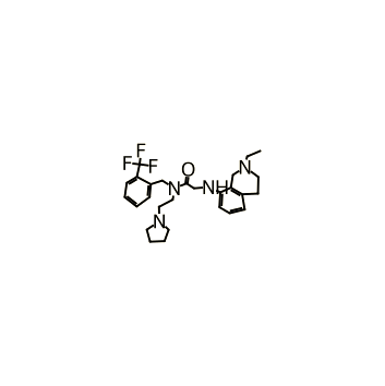 CCN1CCc2cccc(NCC(=O)N(CCN3CCCC3)Cc3ccccc3C(F)(F)F)c2C1